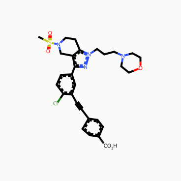 CS(=O)(=O)N1CCc2c(c(-c3ccc(Cl)c(C#Cc4ccc(C(=O)O)cc4)c3)nn2CCCN2CCOCC2)C1